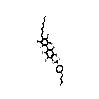 CCCCCCCCc1c(F)c(F)c(-c2c(F)c(F)c(OC(=O)[C@H]3CC[C@H](CCCC)CC3)c(F)c2F)c(F)c1F